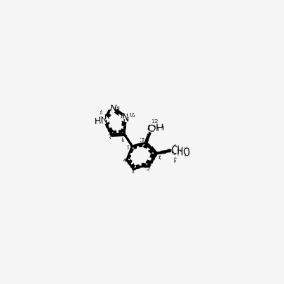 O=Cc1cccc(-c2c[nH]nn2)c1O